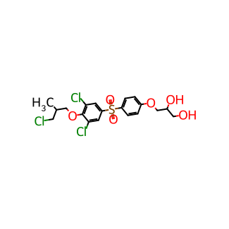 CC(CCl)COc1c(Cl)cc(S(=O)(=O)c2ccc(OCC(O)CO)cc2)cc1Cl